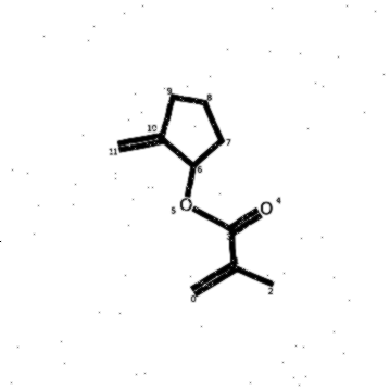 C=C(C)C(=O)OC1CCCC1=C